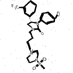 CS(=O)(=O)N1CCN(CCCN2C[C@H](c3cccc(C(F)(F)F)c3)N(c3ccc(Cl)cc3)C2=O)CC1